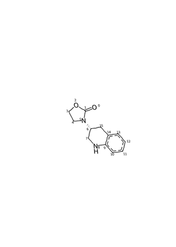 O=C1OCCN1[C@H]1CNc2ccccc2C1